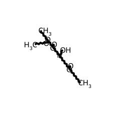 CCCCCCCCCOC(=O)CCCCCCCN(CCO)CCCCOC(=O)CCC(OCCCCCC)OCCCCCC